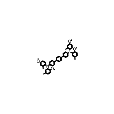 COc1ccc(N(c2ccc(-c3ccc(-c4ccc(N(c5ccc(OC)cc5C)c5cc(C)ccc5OC)cc4)cc3)cc2)c2cc(C)ccc2OC)c(C)c1